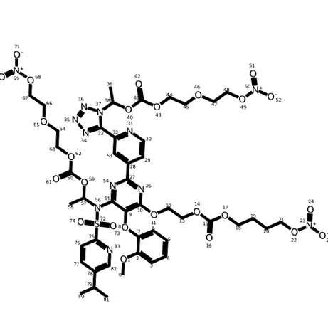 COc1ccccc1Oc1c(OCCOC(=O)OCCCCO[N+](=O)[O-])nc(-c2ccnc(-c3nnnn3C(C)OC(=O)OCCOCCO[N+](=O)[O-])c2)nc1N(C(C)OC(=O)OCCOCCO[N+](=O)[O-])S(=O)(=O)c1ccc(C(C)C)cn1